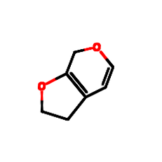 C1=CC2=C(CO1)OCC2